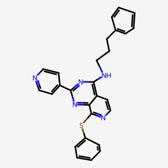 c1ccc(CCCNc2nc(-c3ccncc3)nc3c(Sc4ccccc4)nccc23)cc1